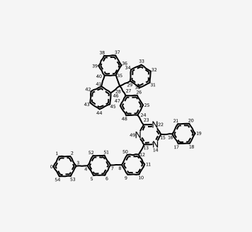 c1ccc(-c2ccc(-c3cccc(-c4nc(-c5ccccc5)nc(-c5ccc(C6(c7ccccc7)c7ccccc7-c7ccccc76)cc5)n4)c3)cc2)cc1